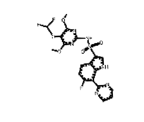 COc1nc(NS(=O)(=O)c2c[nH]c3c(-c4ncccn4)c(F)ccc23)nc(OC)c1OC(F)F